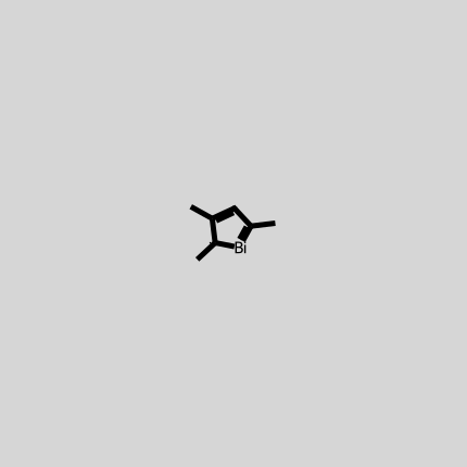 C[C]1[Bi]=[C](C)C=C1C